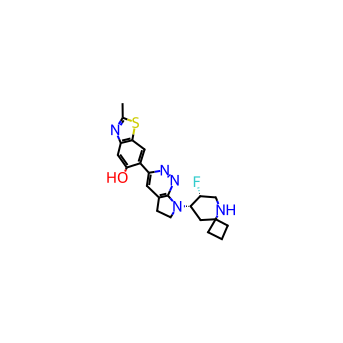 Cc1nc2cc(O)c(-c3cc4c(nn3)N([C@H]3CC5(CCC5)NC[C@H]3F)CC4)cc2s1